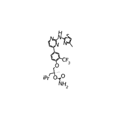 Cc1csc(Nc2nccc(-c3ccc(OC[C@](C)(CC(C)C)OC(N)=O)c(C(F)(F)F)c3)n2)n1